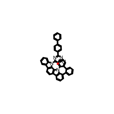 Clc1nc(-c2ccc(-c3ccccc3)cc2)nc(-n2c3ccccc3c3ccc4c5cccc6c5n(c4c32)-c2ccccc2-c2ccccc2-6)n1